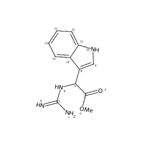 COC(=O)C(NC(=N)N)c1c[nH]c2ccccc12